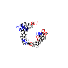 CCCCNc1ncc2c(-c3ccc(CN4CCN(CCOCCc5cccc(Oc6cccc7c6C(=O)NC(=O)C7=O)c5)CC4)cc3)cn([C@H]3CC[C@H](O)CC3)c2n1